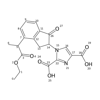 CCOC(=O)C(C)c1cccc2c1CC(n1cc(C(=O)O)nc1C(=O)O)C2=O